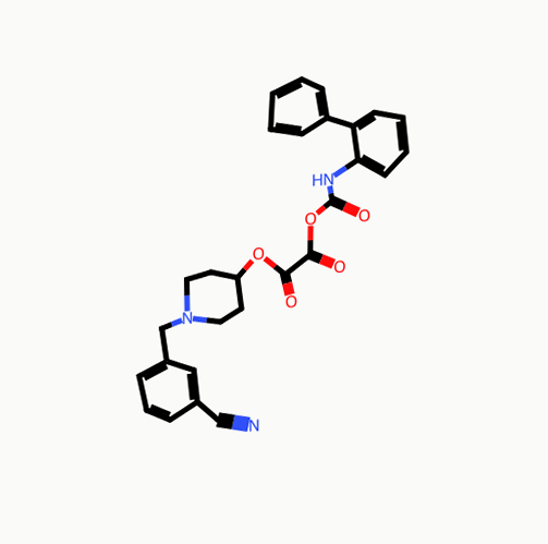 N#Cc1cccc(CN2CCC(OC(=O)C(=O)OC(=O)Nc3ccccc3-c3ccccc3)CC2)c1